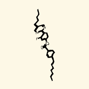 CCCCCCCc1ccc(C(=O)Oc2ccc(-c3ncc(CCCCC)cn3)c(F)c2)cc1